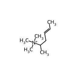 CC=CCC(C)[N+](C)(C)C